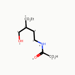 CCOC(=O)C(CO)CCNC(=O)C(=O)O